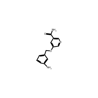 NC(=O)c1cncc(OCc2cccc(N)c2)c1